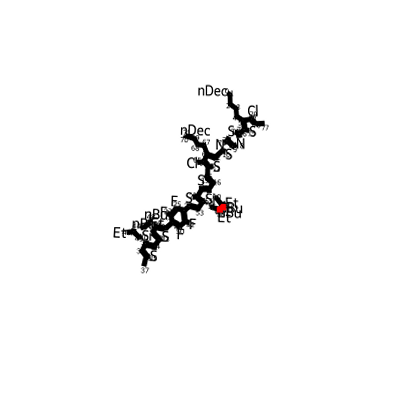 CCCCCCCCCCCCCCc1c(-c2nc3sc(-c4sc(-c5cc6c(s5)-c5sc(-c7c(F)c(F)c(-c8cc9c(s8)-c8sc(C)cc8[Si]9(CC(CC)CCCC)CC(CC)CCCC)c(F)c7F)cc5[Si]6(CC(CC)CCCC)CC(CC)CCCC)c(Cl)c4CCCCCCCCCCCCCC)nc3s2)sc(C)c1Cl